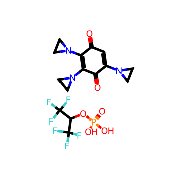 O=C1C=C(N2CC2)C(=O)C(N2CC2)=C1N1CC1.O=P(O)(O)OC(C(F)(F)F)C(F)(F)F